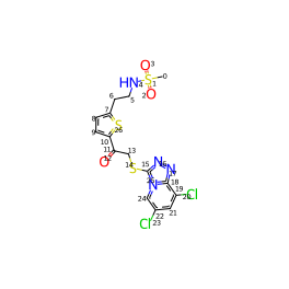 CS(=O)(=O)NCCc1ccc(C(=O)CSc2nnc3c(Cl)cc(Cl)cn23)s1